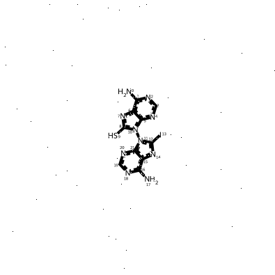 Nc1ncnc2c1nc(S)n2-n1c(I)nc2c(N)ncnc21